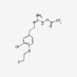 NC(=NCCc1ccc(OCCF)c(Cl)c1)NOC(=O)C(F)(F)F